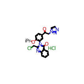 CC(C)Oc1ccc(C(=O)Cn2ccnn2)cc1-n1c(CCl)nc2ccccc2c1=O.Cl